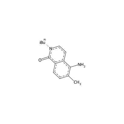 CC[C@@H](C)n1ccc2c(N)c(C)ccc2c1=O